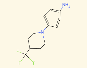 Nc1ccc(N2CCC(C(F)(F)F)CC2)cc1